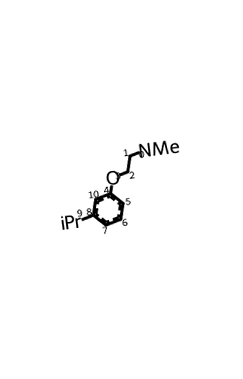 CNCCOc1cccc(C(C)C)c1